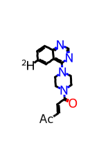 [2H]c1ccc2ncnc(N3CCN(C(=O)C=CC(C)=O)CC3)c2c1